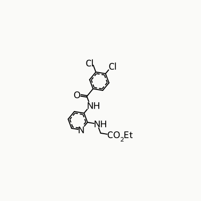 CCOC(=O)CNc1ncccc1NC(=O)c1ccc(Cl)c(Cl)c1